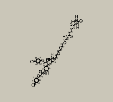 O=C(CCCC[C@@H]1SCC2NC(=O)NC21)NCCOCCOCCOCCN1CC(CN(C(=O)COc2ccc(Cl)cc2)[C@H]2CC[C@H](NC(=O)COc3ccc(Cl)cc3)CC2)NN1